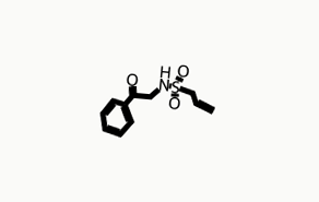 C=CCS(=O)(=O)NCC(=O)c1ccccc1